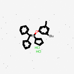 Cc1cc([O][Ti]([C]2=CC=CC2)=[C](c2ccccc2)c2ccccc2)cc(C(C)(C)C)c1.Cl.Cl